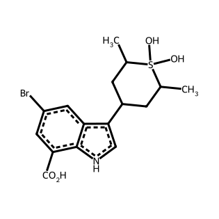 CC1CC(c2c[nH]c3c(C(=O)O)cc(Br)cc23)CC(C)S1(O)O